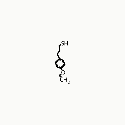 C=COc1ccc(CCCS)cc1